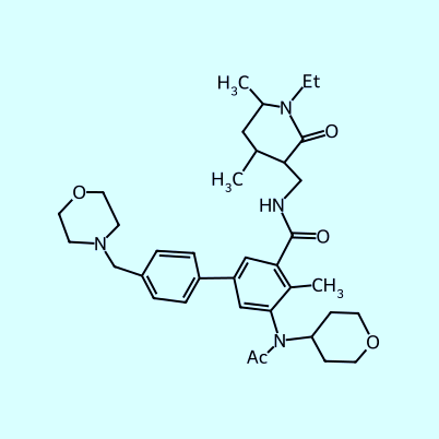 CCN1C(=O)C(CNC(=O)c2cc(-c3ccc(CN4CCOCC4)cc3)cc(N(C(C)=O)C3CCOCC3)c2C)C(C)CC1C